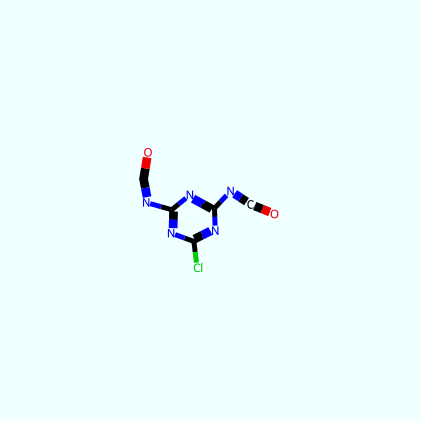 O=C=Nc1nc(Cl)nc(N=C=O)n1